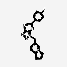 Fc1ccc(-c2cnc3nnn(Cc4ccc5cccn5c4)c3n2)cc1